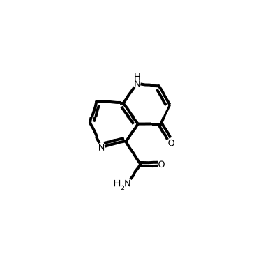 NC(=O)c1nccc2[nH]ccc(=O)c12